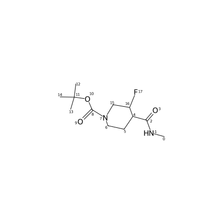 CNC(=O)C1CCN(C(=O)OC(C)(C)C)CC1F